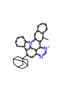 Cc1c2ccccc2cc2c1c1c3c(cc(C45CC6CC(CC(C6)C4)C5)c4c5ccccc5n2c43)nc[n+]1C